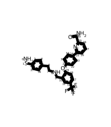 NSc1ccc(CCNCc2cc(C(F)(F)F)ccc2Oc2ccc(-c3cccc(C(N)=O)n3)cc2)cc1